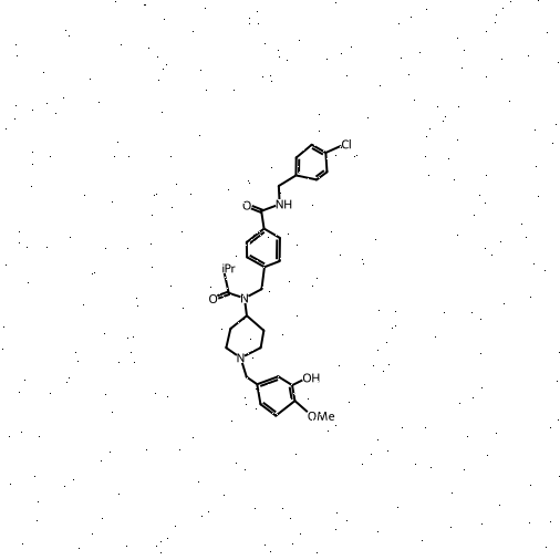 COc1ccc(CN2CCC(N(Cc3ccc(C(=O)NCc4ccc(Cl)cc4)cc3)C(=O)C(C)C)CC2)cc1O